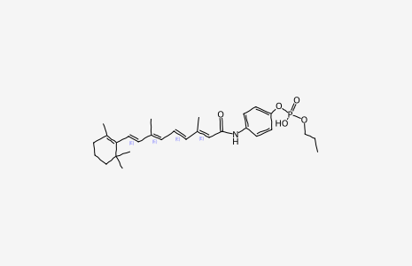 CCCOP(=O)(O)Oc1ccc(NC(=O)/C=C(C)/C=C/C=C(C)/C=C/C2=C(C)CCCC2(C)C)cc1